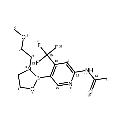 COCCN1CCOB1c1cnc(NC(C)=O)cc1C(F)(F)F